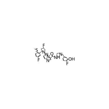 CSc1ccc(F)cc1C1CC(F)CN1c1ccc2ncc(C(=O)NC3CCN(Cc4ccc(F)c(O)c4)C3)n2n1